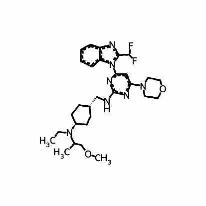 CCN(C(C)COC)[C@H]1CC[C@H](CNc2nc(N3CCOCC3)cc(-n3c(C(F)F)nc4ccccc43)n2)CC1